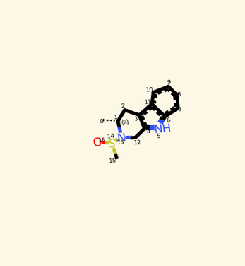 C[C@@H]1Cc2c([nH]c3ccccc23)CN1[S+](C)[O-]